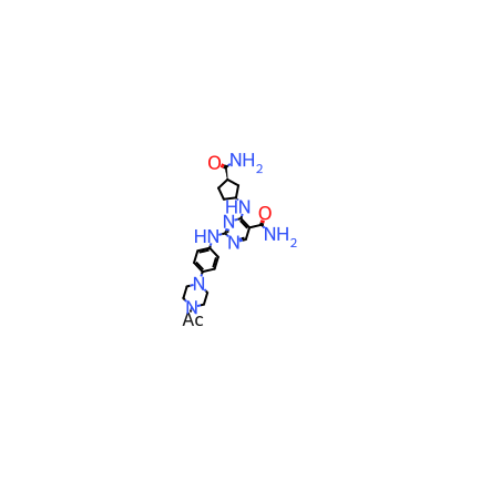 CC(=O)N1CCN(c2ccc(Nc3ncc(C(N)=O)c(N[C@@H]4CC[C@@H](C(N)=O)C4)n3)cc2)CC1